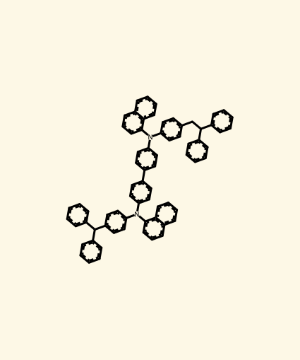 c1ccc(C(Cc2ccc(N(c3ccc(-c4ccc(N(c5ccc(C(c6ccccc6)c6ccccc6)cc5)c5cccc6ccccc56)cc4)cc3)c3cccc4ccccc34)cc2)c2ccccc2)cc1